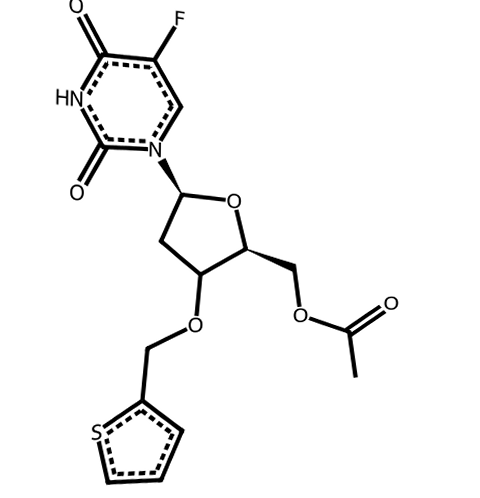 CC(=O)OC[C@@H]1O[C@H](n2cc(F)c(=O)[nH]c2=O)CC1OCc1cccs1